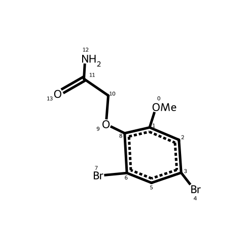 COc1cc(Br)cc(Br)c1OCC(N)=O